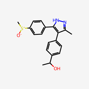 Cc1n[nH]c(-c2ccc([S+](C)[O-])cc2)c1-c1ccc(C(C)O)cc1